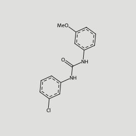 COc1cccc(NC(=O)Nc2cccc(Cl)c2)c1